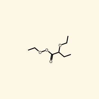 CCOOC(=O)C(CC)OCC